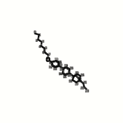 CCCCC/C=C/COc1ccc(-c2ccc(C34CCC(CCC)(CC3)CC4)cc2)cc1